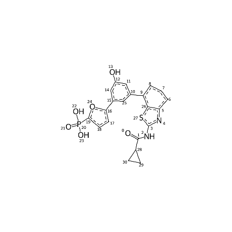 O=C(Nc1nc2cccc(-c3cc(O)cc(-c4ccc(P(=O)(O)O)o4)c3)c2s1)C1CC1